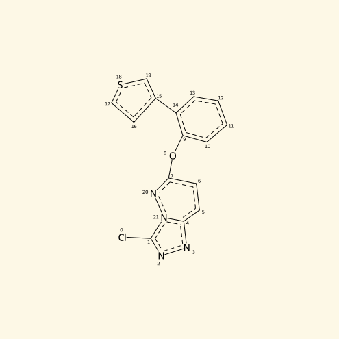 Clc1nnc2ccc(Oc3ccccc3-c3ccsc3)nn12